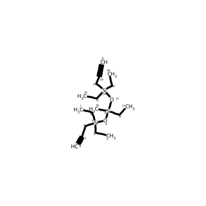 C#CC[Si](CC)(CC)O[Si](C)(CC)O[Si](CC)(CC)CC#C